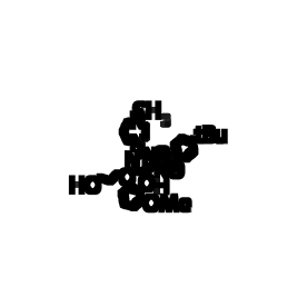 COc1ccccc1Oc1c(NS(=O)(=O)c2ccc(C(C)(C)C)cc2)nc(N2CCCN(C)CC2)nc1OCCCO